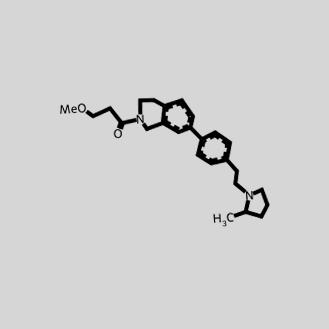 COCCC(=O)N1CCc2ccc(-c3ccc(CCN4CCCC4C)cc3)cc2C1